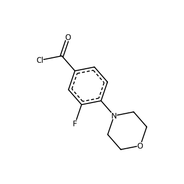 O=C(Cl)c1ccc(N2CCOCC2)c(F)c1